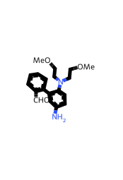 COCCN(CCOC)c1ccc(N)cc1-c1ccccc1C=O